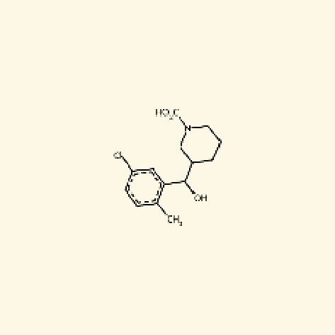 Cc1ccc(Cl)cc1C(O)C1CCCN(C(=O)O)C1